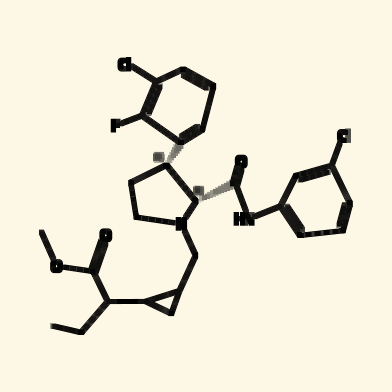 CCC(C(=O)OC)C1CC1CN1CC[C@H](c2cccc(Cl)c2F)[C@@H]1C(=O)Nc1cccc(Cl)c1